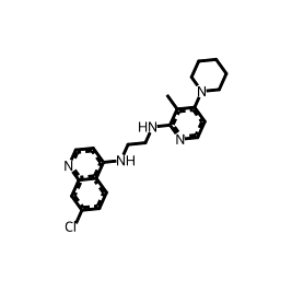 Cc1c(N2CCCCC2)ccnc1NCCNc1ccnc2cc(Cl)ccc12